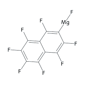 [F][Mg][c]1c(F)c(F)c2c(F)c(F)c(F)c(F)c2c1F